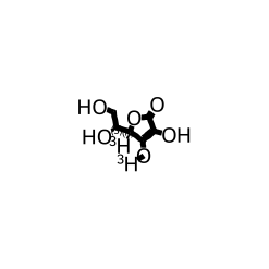 [3H]OC1=C(O)C(=O)O[C@]1([3H])[C@@H](O)CO